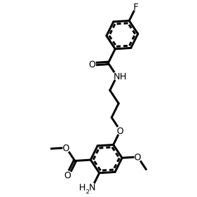 COC(=O)c1cc(OCCCNC(=O)c2ccc(F)cc2)c(OC)cc1N